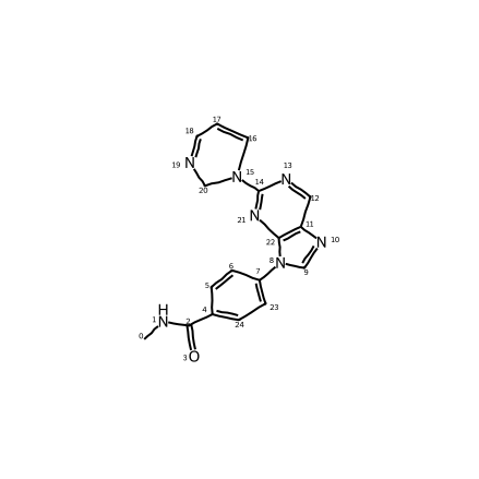 CNC(=O)c1ccc(-n2cnc3cnc(N4C=CC=NC4)nc32)cc1